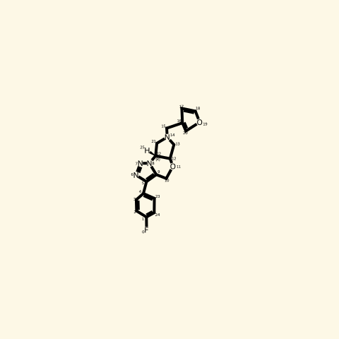 Fc1ccc(-c2nnn3c2COC2CN(Cc4ccoc4)C[C@H]23)cc1